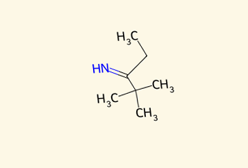 CCC(=N)C(C)(C)C